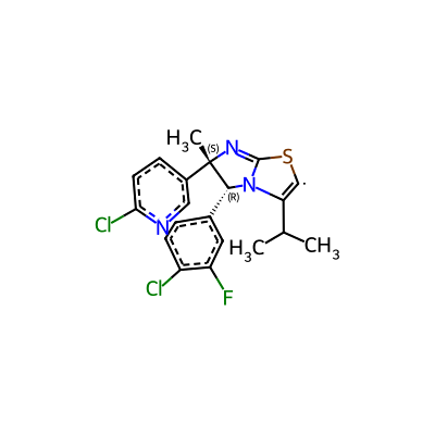 CC(C)C1=[C]SC2=N[C@@](C)(c3ccc(Cl)nc3)[C@@H](c3ccc(Cl)c(F)c3)N12